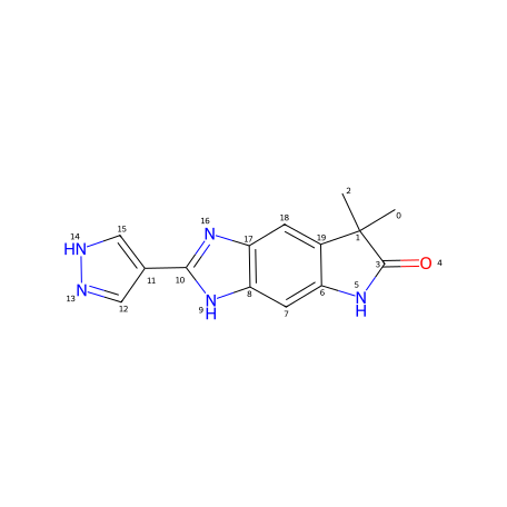 CC1(C)C(=O)Nc2cc3[nH]c(-c4cn[nH]c4)nc3cc21